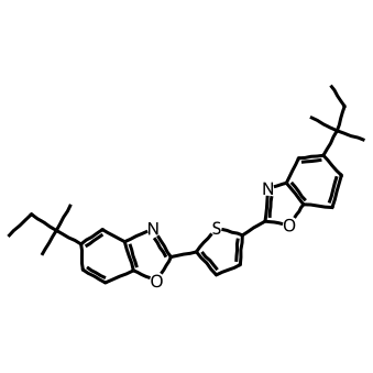 CCC(C)(C)c1ccc2oc(-c3ccc(-c4nc5cc(C(C)(C)CC)ccc5o4)s3)nc2c1